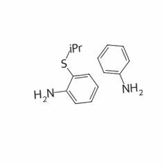 CC(C)Sc1ccccc1N.Nc1ccccc1